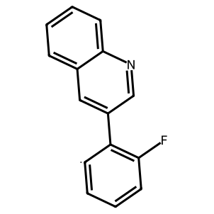 Fc1ccc[c]c1-c1cnc2ccccc2c1